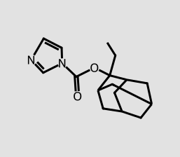 CCC1(OC(=O)n2ccnc2)C2CC3CC(C2)CC1C3